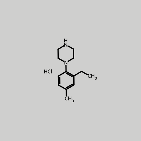 CCc1cc(C)ccc1N1CCNCC1.Cl